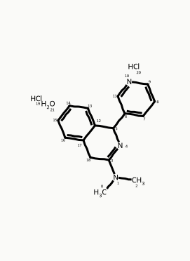 CN(C)C1=NC(c2cccnc2)c2ccccc2C1.Cl.Cl.O